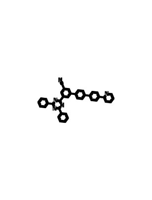 N#Cc1cc(-c2ccc(-c3ccc(-c4ccccn4)cc3)cc2)cc(-c2nc(-c3ccccc3)nc(-c3ccccc3)n2)c1